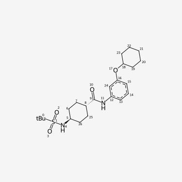 CC(C)(C)S(=O)(=O)N[C@H]1CC[C@H](C(=O)Nc2cccc(OC3CCCCC3)c2)CC1